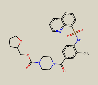 Cc1cc(C(=O)N2CCN(C(=O)OCC3CCCO3)CC2)ccc1NS(=O)(=O)c1cccc2cccnc12